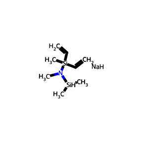 C=C[Si](C)(C=C)N(C)[SiH](C)C.[NaH]